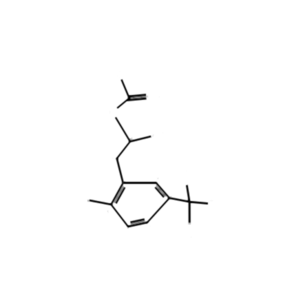 CC(=O)OC(Cl)Cc1cc(C(F)(F)F)ccc1Cl